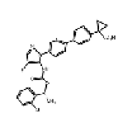 C[C@@H](OC(=O)Nc1c(F)cnn1-c1ccc(-c2ccc(C3(C(=O)O)CC3)cc2)nc1)c1ccccc1Cl